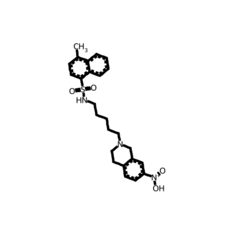 Cc1ccc(S(=O)(=O)NCCCCCN2CCc3ccc([N+](=O)O)cc3C2)c2ccccc12